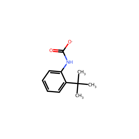 CC(C)(C)c1ccccc1NC([O])=O